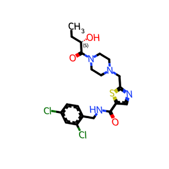 CC[C@H](O)C(=O)N1CCN(Cc2ncc(C(=O)NCc3ccc(Cl)cc3Cl)s2)CC1